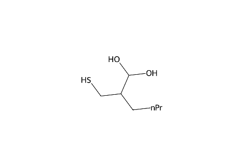 CCCCC(CS)C(O)O